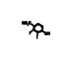 O=C(O)c1ccc(O)c(I)c1I